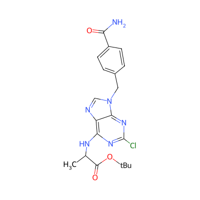 CC(Nc1nc(Cl)nc2c1ncn2Cc1ccc(C(N)=O)cc1)C(=O)OC(C)(C)C